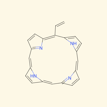 C=Cc1c2nc(cc3ccc(cc4nc(cc5ccc1[nH]5)C=C4)[nH]3)C=C2